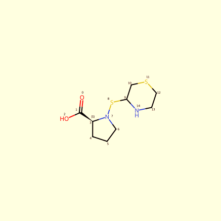 O=C(O)[C@@H]1CCCN1SC1CSCCN1